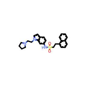 O=S(=O)(CCc1cccc2ccccc12)Nc1ccc2ccn(CCN3CCCC3)c2c1